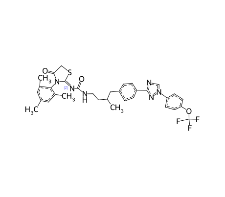 Cc1cc(C)c(N2C(=O)CS/C2=N\C(=O)NCCC(C)Cc2ccc(-c3ncn(-c4ccc(OC(F)(F)F)cc4)n3)cc2)c(C)c1